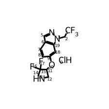 Cl.FC(F)(F)Cn1ncc2ccc(OC3CNCC3(F)F)cc21